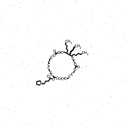 C=C=C=C=C1C(CCCCC)CCOC(=O)OCCCCCCCCC(OC(=O)CCCN2CCCC2)CCCCCCCCOC(=O)OCCC1CCCCC